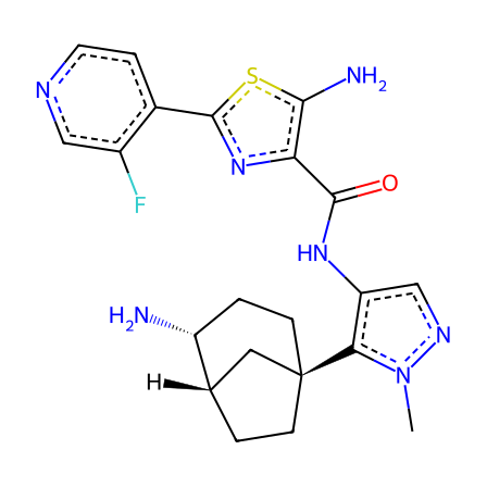 Cn1ncc(NC(=O)c2nc(-c3ccncc3F)sc2N)c1[C@@]12CC[C@@H](C1)[C@H](N)CC2